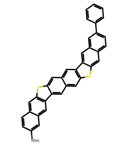 CCCCCCCCCCc1ccc2cc3sc4cc5cc6c(cc5cc4c3cc2c1)sc1cc2ccc(-c3ccccc3)cc2cc16